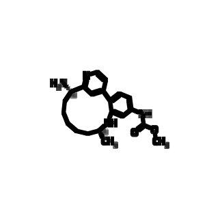 COC(=O)Nc1ccc2c(c1)N[C@@H](C)CCCCC[C@H](N)c1cc-2ccn1